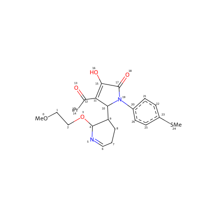 COCCOC1N=CCCC1C1C(C(=O)C(C)C)=C(O)C(=O)N1c1ccc(SC)cc1